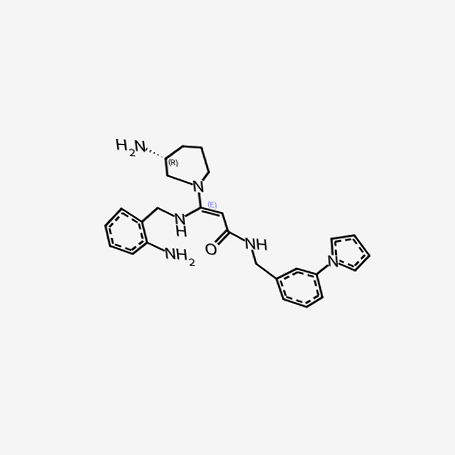 Nc1ccccc1CN/C(=C\C(=O)NCc1cccc(-n2cccc2)c1)N1CCC[C@@H](N)C1